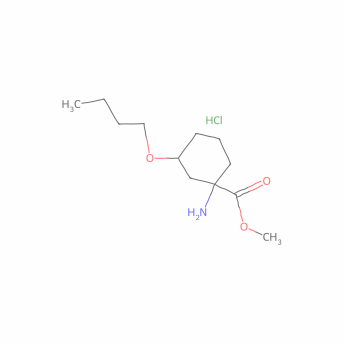 CCCCOC1CCCC(N)(C(=O)OC)C1.Cl